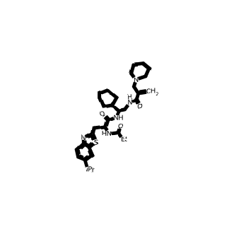 C=C(CN1CCCCC1)C(=O)NCC(NC(=O)C(Cc1nc2ccc(C(C)C)cc2s1)NC(=O)CC)C1CCCCC1